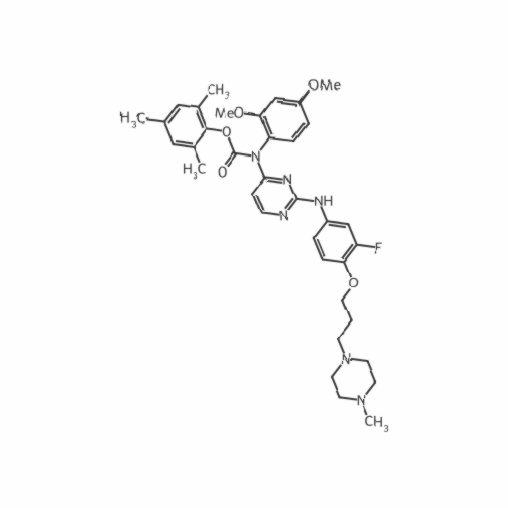 COc1ccc(N(C(=O)Oc2c(C)cc(C)cc2C)c2ccnc(Nc3ccc(OCCCN4CCN(C)CC4)c(F)c3)n2)c(OC)c1